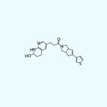 O=C(CCc1cnc2c(c1)CCC(O)N2)N1CC2C=C(c3ccsc3)CC2C1